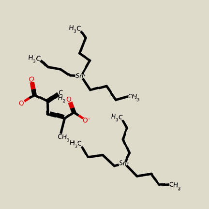 C=C(C=C(C)C(=O)[O-])C(=O)[O-].CCC[CH2][Sn+]([CH2]CCC)[CH2]CCC.CCC[CH2][Sn+]([CH2]CCC)[CH2]CCC